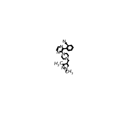 CC1=NN(C)CC1CN1CCN(c2nccnc2-c2ccccc2C#N)CC1